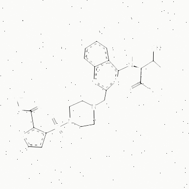 COC(=O)c1sccc1S(=O)(=O)N1CCN(Cc2nc(N[C@H](C(N)=O)C(C)C)c3ccccc3n2)CC1